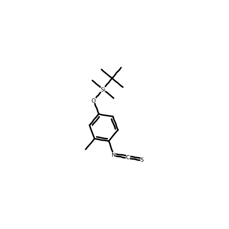 Cc1cc(O[Si](C)(C)C(C)(C)C)ccc1N=C=S